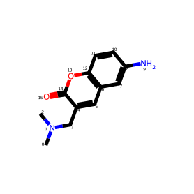 CN(C)Cc1cc2cc(N)ccc2oc1=O